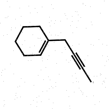 [CH2]C#CCC1=CCCCC1